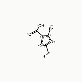 O=C(O)c1sc(CF)nc1Br